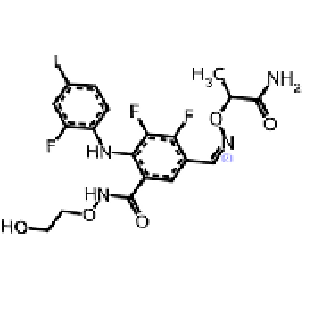 CC(O/N=C\c1cc(C(=O)NOCCO)c(Nc2ccc(I)cc2F)c(F)c1F)C(N)=O